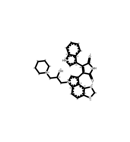 O=C1NC(=O)C(c2cn(CC(O)CN3CCCCC3)c3ccc4c(c23)OCO4)=C1c1c[nH]c2ccccc12